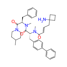 CC1CCN(C(=O)[C@@H](Cc2ccccc2)N(C)C(=O)[C@@H](Cc2ccc(-c3ccccc3)cc2)N(C)C(=O)/C=C/CC2(N)CCC2)CC1